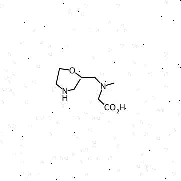 CN(CC(=O)O)CC1CNCCO1